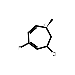 C[C@@H]1C=CC(F)=CC(Cl)C1